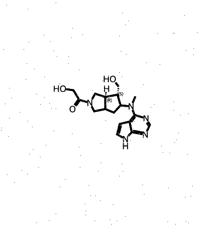 CN(c1ncnc2[nH]ccc12)C1CC2CN(C(=O)CO)C[C@H]2[C@@H]1CO